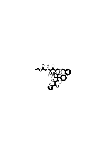 CCOC(=O)CNC(=O)C(=O)C(COCc1ccccc1)NC(=O)C(CN)(C(=O)C(=O)C(=O)c1cccs1)C1CCCCC1